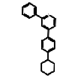 c1ccc(-c2cc(-c3ccc(C4CCCCC4)cc3)ccn2)cc1